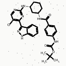 CC(C)(C)OC(=O)Nc1ccc(C(=O)N[C@H]2CCC[C@@H](Nc3ncc(Cl)c(-c4n[nH]c5ccccc45)n3)C2)cc1